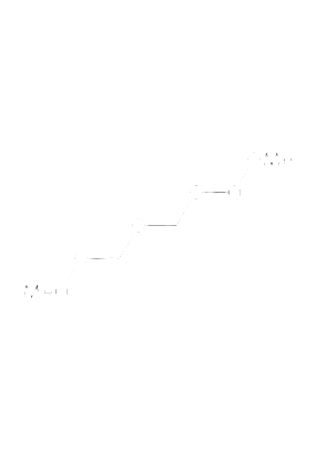 COOCOCOOOC